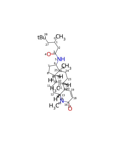 CC(CC(=O)NC1CC[C@H]2[C@@H]3CC[C@H]4N(C)C(=O)C=C[C@]4(C)[C@H]3CC[C@]12C)CC(C)(C)C